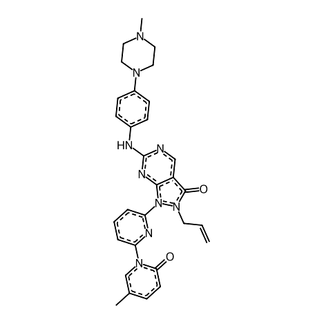 C=CCn1c(=O)c2cnc(Nc3ccc(N4CCN(C)CC4)cc3)nc2n1-c1cccc(-n2cc(C)ccc2=O)n1